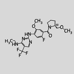 CCNc1nc(Nc2cc(F)c(C(=O)N3CCC[C@H]3COC)cc2OC)ncc1C(F)(F)F